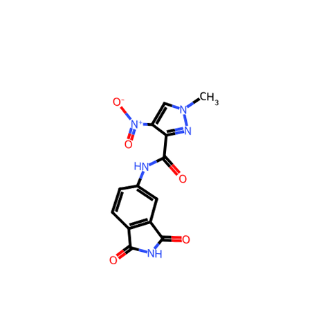 Cn1cc([N+](=O)[O-])c(C(=O)Nc2ccc3c(c2)C(=O)NC3=O)n1